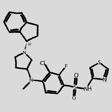 CN(c1ccc(S(=O)(=O)Nc2cscn2)c(F)c1Cl)C1CCN([C@H]2CCc3ccccc32)C1